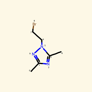 Cc1nc(C)n(CCBr)n1